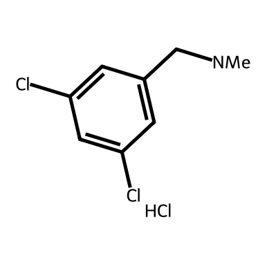 CNCc1cc(Cl)cc(Cl)c1.Cl